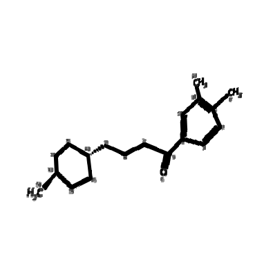 Cc1ccc(C(=O)CCC[C@H]2CC[C@H](C)CC2)cc1C